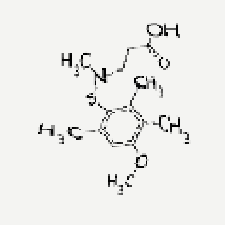 COc1cc(C)c(SN(C)CCC(=O)O)c(C)c1C